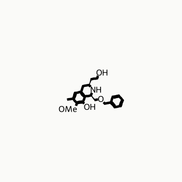 COc1c(C)cc2c(c1O)[C@H](COCc1ccccc1)N[C@H](CCO)C2